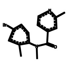 Cc1cc(C(=O)N(C)c2ccc(Br)cc2C)ccn1